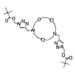 CC(C)(C)C(=O)OCn1cc(CN2CCOCCOCCN(Cc3cn(COC(=O)C(C)(C)C)nn3)CCOCC2)nn1